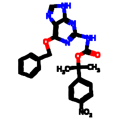 CC(C)(OC(=O)Nc1nc(OCc2ccccc2)c2nc[nH]c2n1)c1ccc([N+](=O)[O-])cc1